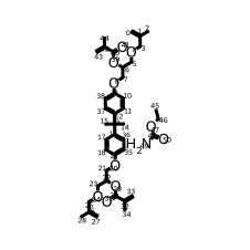 C=C(C)COCC(COc1ccc(C(C)(C)c2ccc(OCC(COCC(=C)C)OC(=O)C(=C)C)cc2)cc1)OC(=O)C(=C)C.CCOC(N)=O